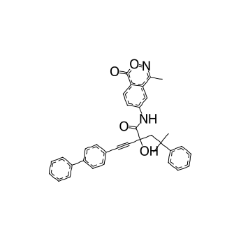 Cc1noc(=O)c2ccc(NC(=O)C(O)(C#Cc3ccc(-c4ccccc4)cc3)CC(C)(C)c3ccccc3)cc12